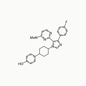 CNc1ccnc(-c2c(-c3ccc(F)cc3)ncn2C2CCC(c3ccc(O)cc3)CC2)n1